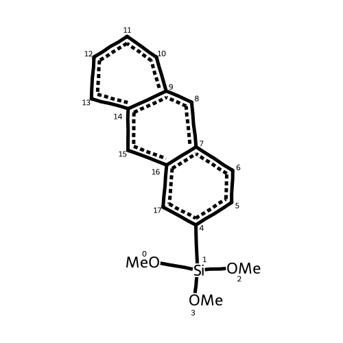 CO[Si](OC)(OC)c1ccc2cc3ccccc3cc2c1